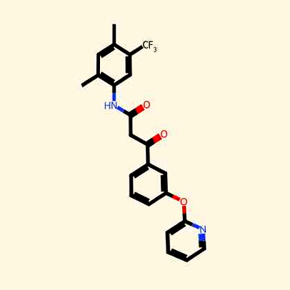 Cc1cc(C)c(C(F)(F)F)cc1NC(=O)CC(=O)c1cccc(Oc2ccccn2)c1